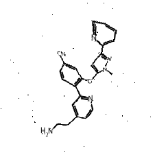 Cn1nc(-c2ccccn2)cc1Oc1cc(C#N)ccc1-c1cc(CCN)ccn1